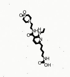 CCNc1nc(CCCCNC(=O)O)ccc1C(=O)NCCN1CCS(=O)(=O)CC1